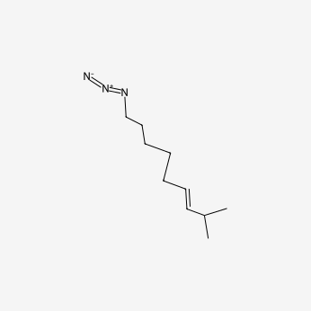 CC(C)/C=C/CCCCCN=[N+]=[N-]